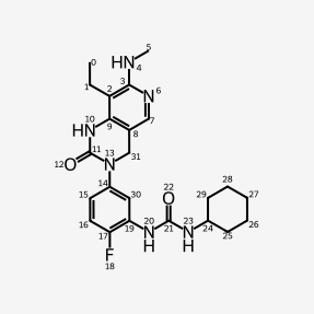 CCc1c(NC)ncc2c1NC(=O)N(c1ccc(F)c(NC(=O)NC3CCCCC3)c1)C2